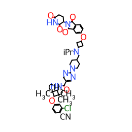 CC(C)N(CC1CCN(c2ncc(C(=O)N[C@H]3C(C)(C)[C@H](Oc4ccc(C#N)c(Cl)c4)C3(C)C)cn2)CC1)[C@H]1C[C@H](Oc2ccc3c(c2)C(=O)N(C2CCC(=O)NC2=O)C3=O)C1